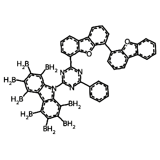 Bc1c(B)c(B)c2c(c1B)c1c(B)c(B)c(B)c(B)c1n2-c1nc(-c2ccccc2)nc(-c2cccc3c2oc2c(-c4cccc5c4oc4ccccc45)cccc23)n1